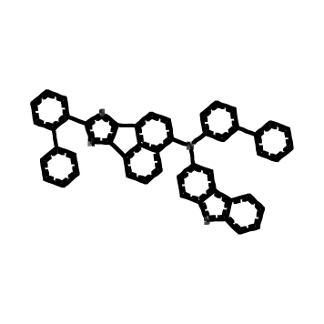 c1ccc(-c2cccc(N(c3ccc4sc5ccccc5c4c3)c3ccc4c5c(cccc35)-c3nc(-c5ccccc5-c5ccccc5)sc3-4)c2)cc1